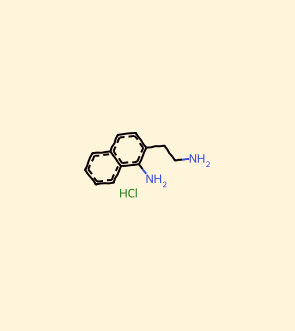 Cl.NCCc1ccc2ccccc2c1N